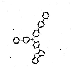 c1ccc(-c2ccc(-c3ccc(N(c4ccc(-c5ccccc5)cc4)c4ccc(-c5cccc6c5sc5ccccc56)cc4)cc3)cc2)cc1